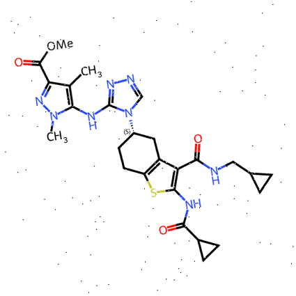 COC(=O)c1nn(C)c(Nc2nncn2[C@H]2CCc3sc(NC(=O)C4CC4)c(C(=O)NCC4CC4)c3C2)c1C